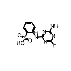 [NH]c1nc(F)nc(Nc2ccccc2S(=O)(=O)O)n1